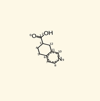 O=C(O)C1CCc2ccncc2C1